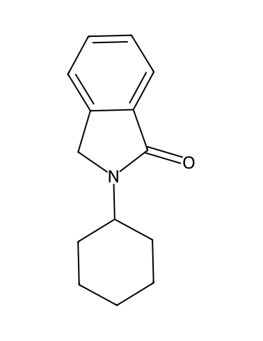 O=C1c2ccccc2CN1C1CCCCC1